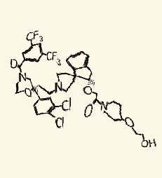 O=C(CO[C@H]1Cc2ccccc2C12CCN(CC[C@@]1(c3ccc(Cl)c(Cl)c3)CN(C(=O)c3cc(C(F)(F)F)cc(C(F)(F)F)c3)CCO1)CC2)N1CCC(OCCO)CC1